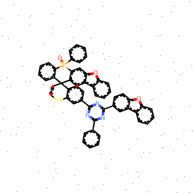 O=P1(c2ccccc2)c2ccccc2C2(c3ccccc3Sc3cc(-c4nc(-c5ccccc5)nc(-c5ccc6oc7ccccc7c6c5)n4)ccc32)c2cc3c(cc21)oc1ccccc13